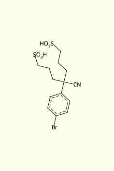 N#CC(CCCS(=O)(=O)O)(CCCS(=O)(=O)O)c1ccc(Br)cc1